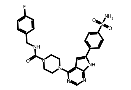 NS(=O)(=O)c1ccc(-c2cc3c(N4CCN(C(=O)NCc5ccc(F)cc5)CC4)ncnc3[nH]2)cc1